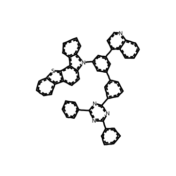 c1ccc(-c2nc(-c3ccccc3)nc(-c3cccc(-c4cc(-c5ccnc6ccccc56)cc(-n5c6ccccc6c6c7sc8ccccc8c7ccc65)c4)c3)n2)cc1